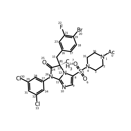 CC(=O)N1CCN(S(=O)(=O)c2cnc3n2[C@](C)(Cc2ccc(Br)c(F)c2)C(=O)N3c2cc(Cl)cc(Cl)c2)CC1